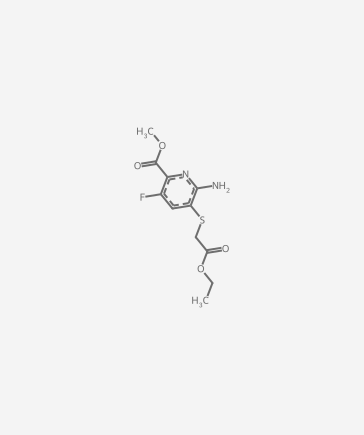 CCOC(=O)CSc1cc(F)c(C(=O)OC)nc1N